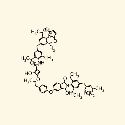 C=C/C(=C\C(C)C)Cc1cc(CC)c(N2C(=O)c3ccc(Oc4ccc(CC(C)OC5=CC(C(=O)Nc6c(C)cc(Cc7cc(C)c(N8C(=O)C=CC8=O)c(C(C)C)c7)cc6C(C)C)=C5O)cc4)cc3C2O)c(CC)c1